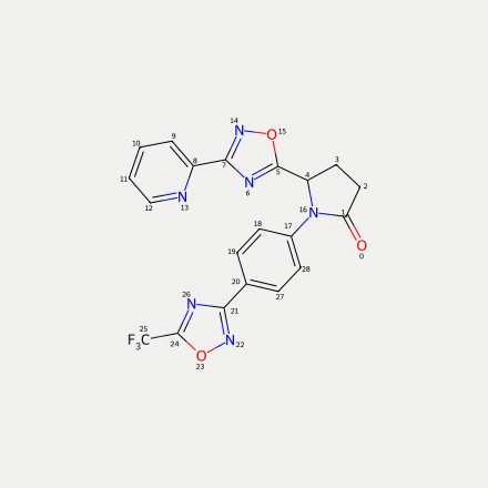 O=C1CCC(c2nc(-c3ccccn3)no2)N1c1ccc(-c2noc(C(F)(F)F)n2)cc1